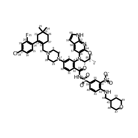 C[C@@H]1CN(c2cc(N3CCN(CC4=C(c5ccc(Cl)cc5F)CC(C)(C)CC4)CC3)ccc2C(=O)NS(=O)(=O)c2ccc(NCC3CCOCC3)c([N+](=O)[O-])c2)c2cc3cc[nH]c3nc2O1